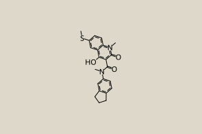 CSc1ccc2c(c1)c(O)c(C(=O)N(C)c1ccc3c(c1)CCC3)c(=O)n2C